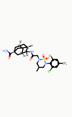 CC1CN(CC(=O)N[C@@H]2[C@@H]3C[C@@H]4C[C@H]2C[C@@](C(N)=O)(C4)C3)S(=O)(=O)N(c2c(Cl)cc(C(F)(F)F)cc2Cl)C1